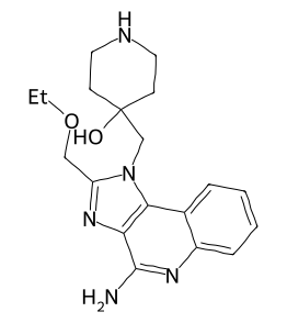 CCOCc1nc2c(N)nc3ccccc3c2n1CC1(O)CCNCC1